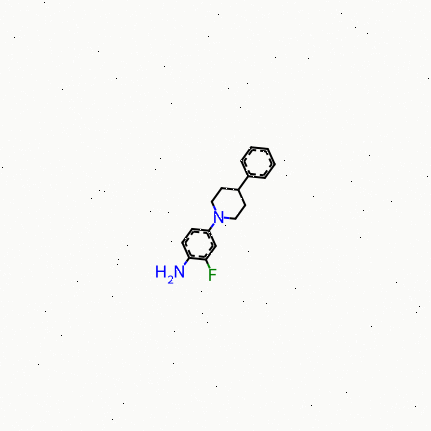 Nc1ccc(N2CCC(c3ccccc3)CC2)cc1F